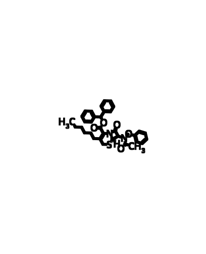 CCCCCCC1=C(C(=O)OC(c2ccccc2)c2ccccc2)N2C(=O)C(N(Oc3ccccc3)C(C)=O)[C@@H]2SC1